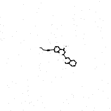 OCCC#Cc1ccc2/c(=N/O)cc(-c3cc4ccccc4cn3)oc2c1